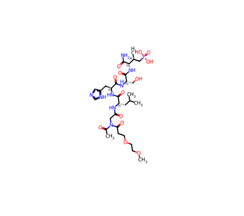 COCCOCCC(=O)N(CC(=O)N[C@@H](CC(C)C)C(=O)N[C@@H](Cc1cnc[nH]1)C(=O)N[C@@H](CO)C(=O)N[C@H](C(N)=O)[C@@H](C)CP(=O)(O)O)C(C)=O